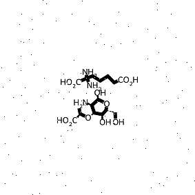 C[C@@H](O[C@@H]1[C@@H](N)[C@@H](O)O[C@H](CO)[C@H]1O)C(=O)O.NC(N)(CCCCC(=O)O)C(=O)O